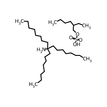 CCCCC(CC)COS(=O)(=O)O.CCCCCCCCC(N)(CCCCCCCC)CCCCCCCC